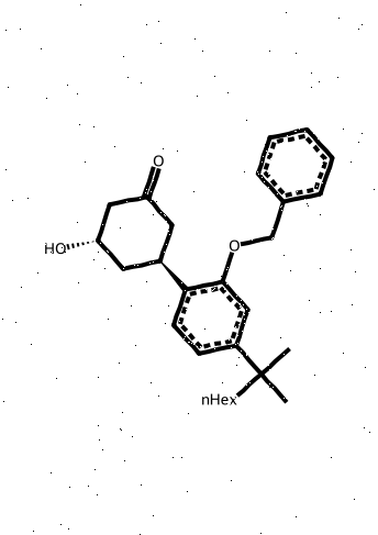 CCCCCCC(C)(C)c1ccc([C@@H]2CC(=O)C[C@@H](O)C2)c(OCc2ccccc2)c1